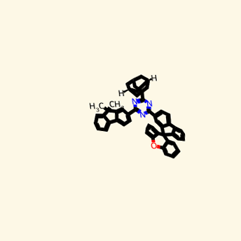 CC1(C)c2ccccc2-c2ccc(-c3nc(-c4ccc5c(c4)C4(c6ccccc6Oc6ccccc64)c4ccccc4-5)nc(C45CC6C[C@H](C4)C[C@@H](C6)C5)n3)cc21